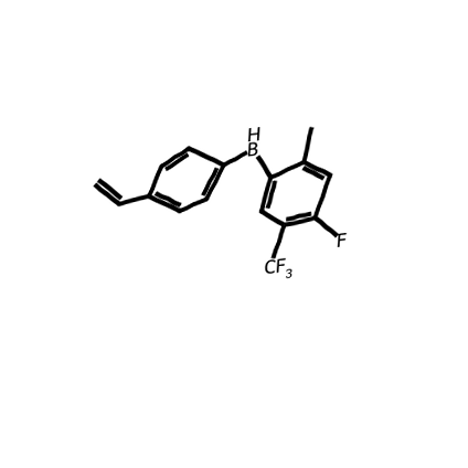 C=Cc1ccc(Bc2cc(C(F)(F)F)c(F)cc2C)cc1